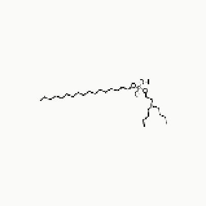 CCCCCCCCCCCCCCCCCOP(=O)(O)OCCN(CCCC)CCCC